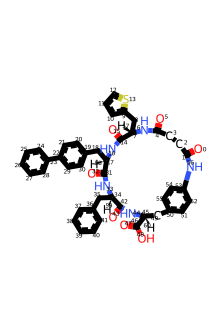 O=C1CCC(=O)N[C@@H](Cc2cccs2)C(=O)N[C@H](Cc2ccc(-c3ccccc3)cc2)C(=O)N[C@H](Cc2ccccc2)C(=O)N[C@H](C(=O)O)Cc2ccc(cc2)N1